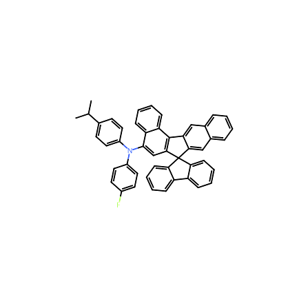 CC(C)c1ccc(N(c2ccc(F)cc2)c2cc3c(c4ccccc24)-c2cc4ccccc4cc2C32c3ccccc3-c3ccccc32)cc1